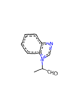 CC(C=O)n1cnc2ccccc21